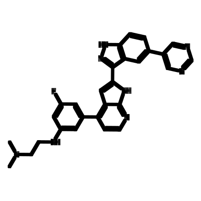 CN(C)CCNc1cc(F)cc(-c2ccnc3[nH]c(-c4n[nH]c5ccc(-c6cncnc6)cc45)cc23)c1